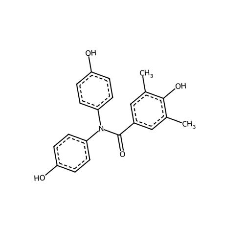 Cc1cc(C(=O)N(c2ccc(O)cc2)c2ccc(O)cc2)cc(C)c1O